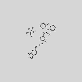 C[N+]1(CCCOc2ccc3c(c2)OCO3)CCC(OC(=O)C2c3ccccc3Oc3ccccc32)C1.O=C([O-])C(F)(F)F